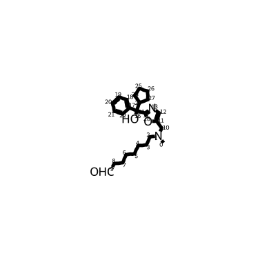 CN(CCCCCCCC=O)Cc1cnc(C(O)(c2ccccc2)C2CCCC2)o1